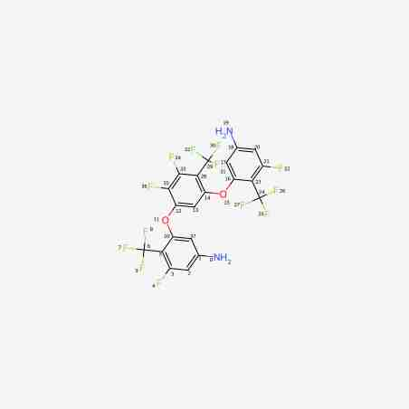 Nc1cc(F)c(C(F)(F)F)c(Oc2cc(Oc3cc(N)cc(F)c3C(F)(F)F)c(C(F)(F)F)c(F)c2F)c1